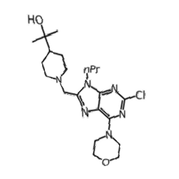 CCCn1c(CN2CCC(C(C)(C)O)CC2)nc2c(N3CCOCC3)nc(Cl)nc21